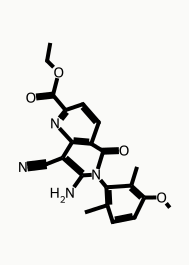 CCOC(=O)c1ccc2c(=O)n(-c3c(C)ccc(OC)c3C)c(N)c(C#N)c2n1